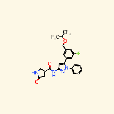 O=C1C[C@H](C(=O)Nc2cc(-c3cc(F)cc(COC(C(F)(F)F)C(F)(F)F)c3)n(-c3ccccc3)n2)CN1